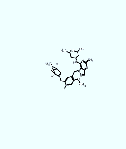 CCC[C@@H](CC(C)O)Nc1nc(N)nc2cnn(Cc3cc(CN4C[C@H]5C[C@@H]4CN5C)c(F)cc3OC)c12